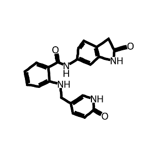 O=C1Cc2ccc(NC(=O)c3ccccc3NCc3ccc(=O)[nH]c3)cc2N1